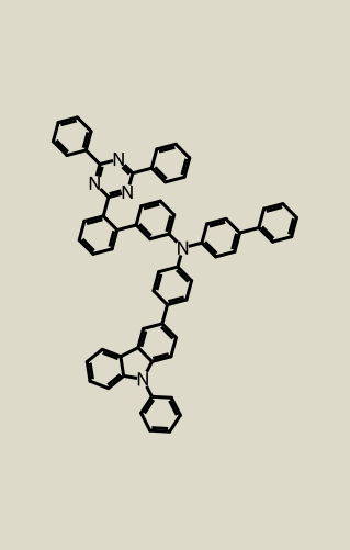 c1ccc(-c2ccc(N(c3ccc(-c4ccc5c(c4)c4ccccc4n5-c4ccccc4)cc3)c3cccc(-c4ccccc4-c4nc(-c5ccccc5)nc(-c5ccccc5)n4)c3)cc2)cc1